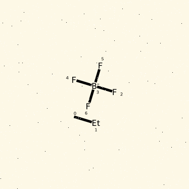 CCC.F[B-](F)(F)F